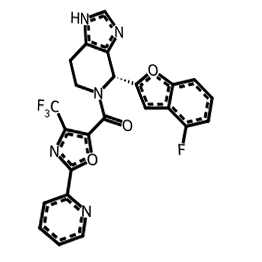 O=C(c1oc(-c2ccccn2)nc1C(F)(F)F)N1CCc2[nH]cnc2[C@@H]1c1cc2c(F)cccc2o1